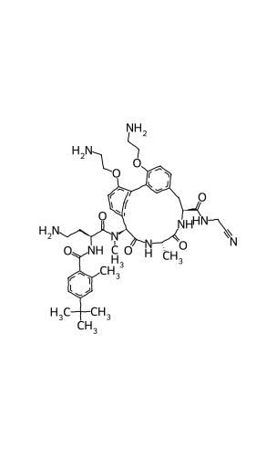 Cc1cc(C(C)(C)C)ccc1C(=O)N[C@@H](CCN)C(=O)N(C)[C@@H]1C(=O)N[C@@H](C)C(=O)N[C@H](C(=O)NCC#N)Cc2ccc(OCCN)c(c2)-c2cc1ccc2OCCN